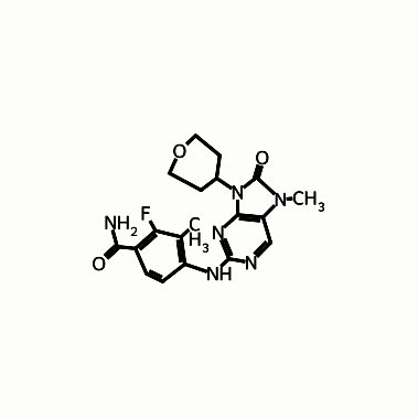 Cc1c(Nc2ncc3c(n2)n(C2CCOCC2)c(=O)n3C)ccc(C(N)=O)c1F